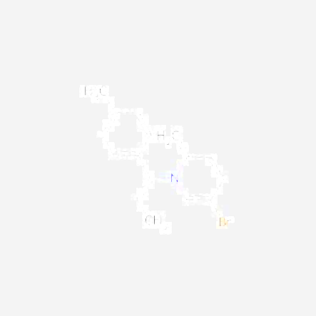 C=C1C=CC(Br)=CN1/C(=C\C)c1ccc(C)cc1